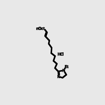 CCCCCCCCC=CCCCCCCCCC1=NCCN1CC.Cl